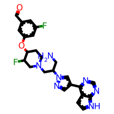 NCC(CN1CCC(Oc2cc(F)cc(C=O)c2)C(F)C1)n1cc(-c2ncnc3[nH]ccc23)cn1